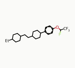 CCC1CCC(CCC2CCC(c3ccc(OC(F)C(F)(F)F)cc3)CC2)CC1